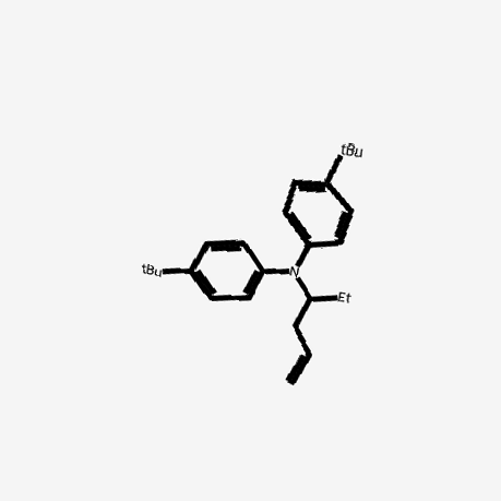 C=CCC(CC)N(c1ccc(C(C)(C)C)cc1)c1ccc(C(C)(C)C)cc1